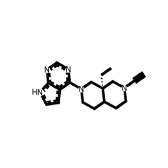 C#CN1CCC2CCN(c3ncnc4[nH]ccc34)C[C@@]2(CC)C1